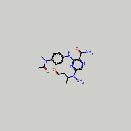 CC(=O)N(C)c1ccc(Nc2nc(N(N)C(C)CC=O)cnc2C(N)=O)cc1